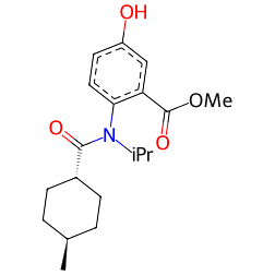 COC(=O)c1cc(O)ccc1N(C(=O)[C@H]1CC[C@H](C)CC1)C(C)C